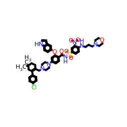 CC1(C)CCC(CN2CCN(c3ccc(C(=O)NS(=O)(=O)c4ccc(NCCCN5CCOCC5)c([N+](=O)[O-])c4)c(Oc4ccc5[nH]ccc5c4)c3)CC2)=C(c2ccc(Cl)cc2)C1